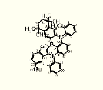 Cc1ccccc1N1c2cc3c(cc2B2c4sc5ccc(C(C)(C)C)cc5c4N(c4ccccc4)c4cccc1c42)C(C)(C)CCC3(C)C